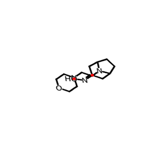 ON=C1CC2CCC(C1)N2CCN1CCOCC1